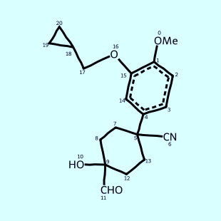 COc1ccc(C2(C#N)CCC(O)(C=O)CC2)cc1OCC1CC1